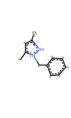 CCc1cc(C)n(Cc2ccccc2)n1